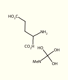 CNC(O)(O)O.NC(CCC(=O)O)C(=O)O